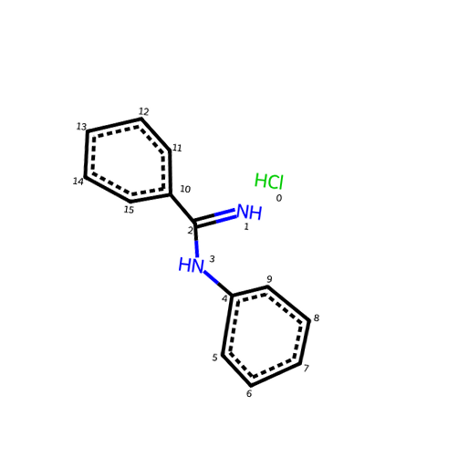 Cl.N=C(Nc1ccccc1)c1ccccc1